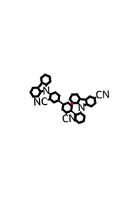 N#Cc1ccc2c(c1)c1ccccc1n2-c1ccccc1-c1ccc(-c2ccc(-n3c4ccccc4c4ccccc43)c(C#N)c2)cc1C#N